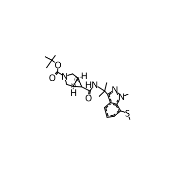 CSc1cccc2c(C(C)(C)NC(=O)C3[C@H]4CN(C(=O)OC(C)(C)C)C[C@@H]34)nn(C)c12